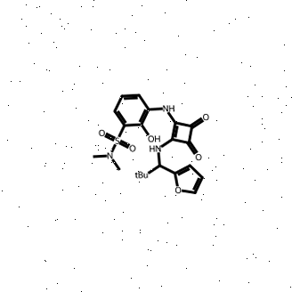 CN(C)S(=O)(=O)c1cccc(Nc2c(NC(c3ccco3)C(C)(C)C)c(=O)c2=O)c1O